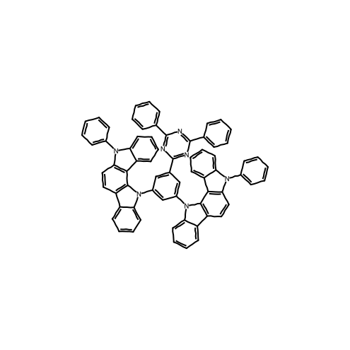 c1ccc(-c2nc(-c3ccccc3)nc(-c3cc(-n4c5ccccc5c5ccc6c(c7ccccc7n6-c6ccccc6)c54)cc(-n4c5ccccc5c5ccc6c(c7ccccc7n6-c6ccccc6)c54)c3)n2)cc1